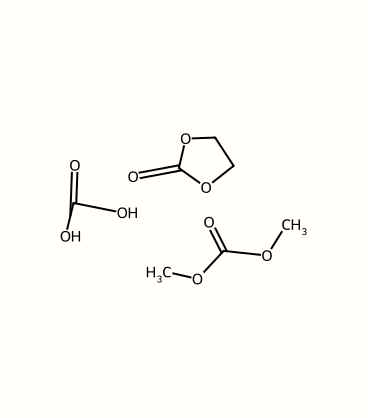 COC(=O)OC.O=C(O)O.O=C1OCCO1